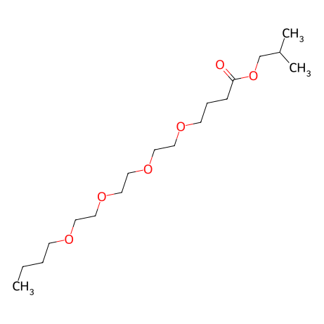 CCCCOCCOCCOCCOCCCC(=O)OCC(C)C